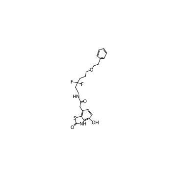 O=C(Cc1ccc(O)c2[nH]c(=O)sc12)NCCC(F)(F)CCCOCCc1ccccc1